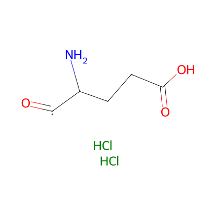 Cl.Cl.NC([C]=O)CCC(=O)O